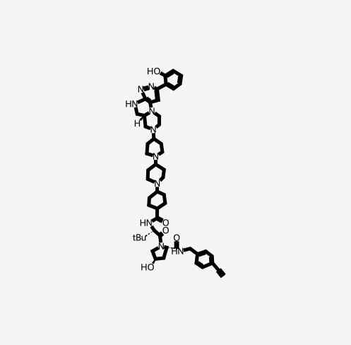 C#Cc1ccc(CNC(=O)[C@@H]2C[C@@H](O)CN2C(=O)[C@@H](NC(=O)C2CCC(N3CCC(N4CCC(N5CCN6c7cc(-c8ccccc8O)nnc7NC[C@H]6C5)CC4)CC3)CC2)C(C)(C)C)cc1